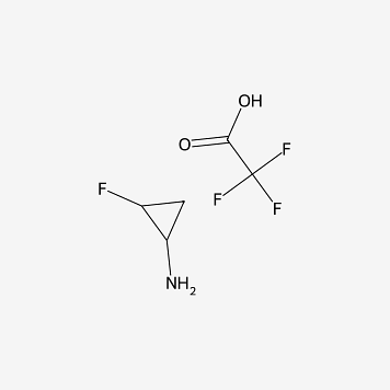 NC1CC1F.O=C(O)C(F)(F)F